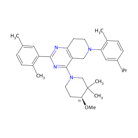 CO[C@H]1CCN(c2nc(-c3cc(C)ccc3C)nc3c2CN(c2cc(C(C)C)ccc2C)CC3)CC1(C)C